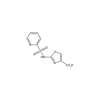 O=C(O)c1csc(NS(=O)(=O)c2ccccn2)n1